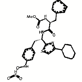 COC(=O)N[C@@H](Cc1ccccc1)C(=O)N[C@@H](Cc1ccc(NO[SH](=O)=O)cc1)c1nc(C2CCCCC2)cs1